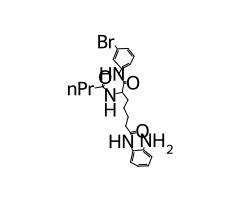 CCCC(=O)NC(CCCCC(=O)Nc1ccccc1N)C(=O)Nc1cccc(Br)c1